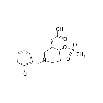 CS(=O)(=O)OC1CCN(Cc2ccccc2Cl)CC1=CC(=O)O